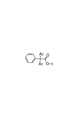 CC(=O)C(C(C)=O)(C(=O)OI)c1ccccc1